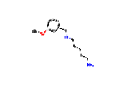 CCCCOc1cccc(CNCCCCCN)c1